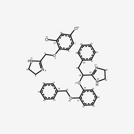 Clc1ccc(OCC2=NCCN2)c(Cl)c1.c1ccc(COc2ccccc2OC(Cc2ccccc2)C2=NCCN2)cc1